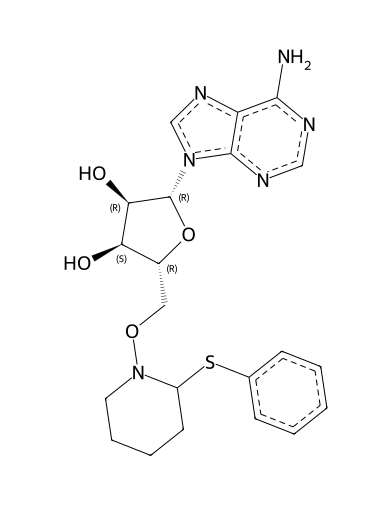 Nc1ncnc2c1ncn2[C@@H]1O[C@H](CON2CCCCC2Sc2ccccc2)[C@@H](O)[C@H]1O